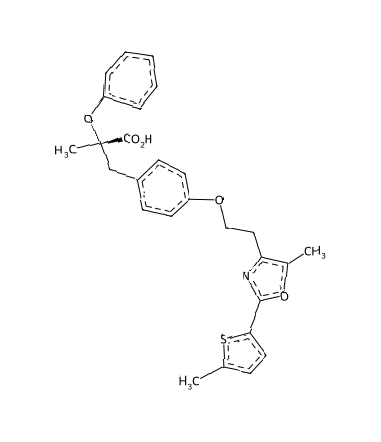 Cc1ccc(-c2nc(CCOc3ccc(C[C@](C)(Oc4ccccc4)C(=O)O)cc3)c(C)o2)s1